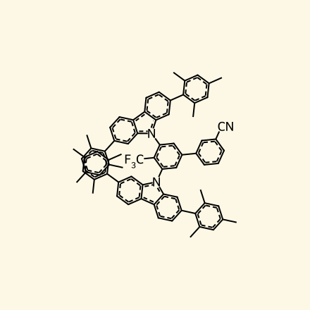 Cc1cc(C)c(-c2ccc3c4ccc(-c5c(C)cc(C)cc5C)cc4n(-c4cc(-c5cccc(C#N)c5)cc(-n5c6cc(-c7c(C)cc(C)cc7C)ccc6c6ccc(-c7c(C)cc(C)cc7C)cc65)c4C(F)(F)F)c3c2)c(C)c1